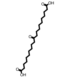 O=C(O)CCCCCCCCCC(=O)CCCCCCCCCC(=O)O